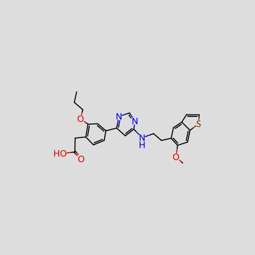 CCCOc1cc(-c2cc(NCCc3cc4ccsc4cc3OC)ncn2)ccc1CC(=O)O